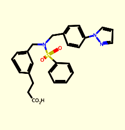 O=C(O)CCc1cccc(CN(Cc2ccc(-n3cccn3)cc2)S(=O)(=O)c2ccccc2)c1